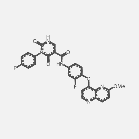 COc1ccc2nccc(Oc3ccc(NC(=O)c4c[nH]c(=O)n(-c5ccc(F)cc5)c4=O)cc3F)c2n1